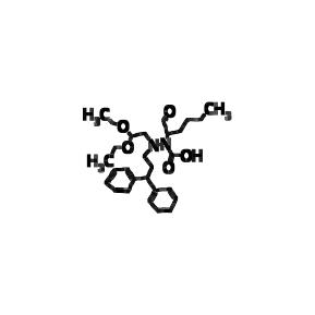 CCCCC(C=O)N(C(=O)O)N(CCC(c1ccccc1)c1ccccc1)CC(OCC)OCC